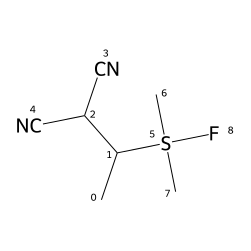 CC(C(C#N)C#N)S(C)(C)F